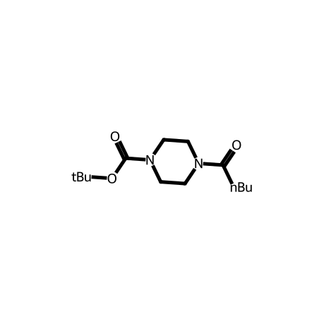 [CH2]CCCC(=O)N1CCN(C(=O)OC(C)(C)C)CC1